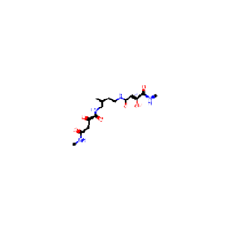 CNC(=O)CC(=O)C(=O)NCC(C)CCNC(=O)/C=C(\O)C(=O)NC